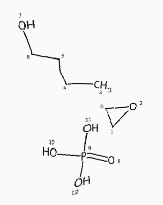 C1CO1.CCCCO.O=P(O)(O)O